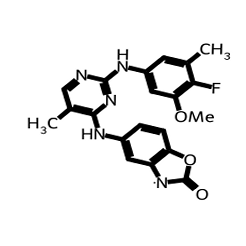 COc1cc(Nc2ncc(C)c(Nc3ccc4c(c3)[N]C(=O)O4)n2)cc(C)c1F